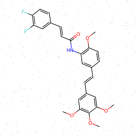 COc1ccc(/C=C/c2cc(OC)c(OC)c(OC)c2)cc1NC(=O)/C=C/c1ccc(F)c(F)c1